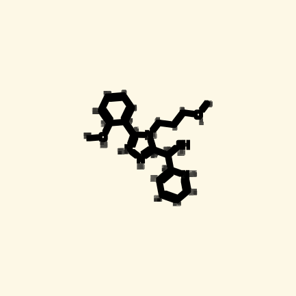 COCCCn1c(-c2ccccc2OC)nnc1C(S)c1ccccn1